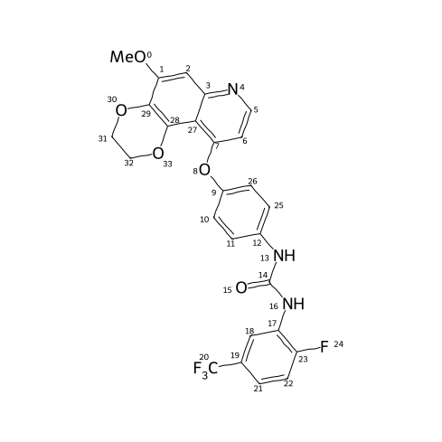 COc1cc2nccc(Oc3ccc(NC(=O)Nc4cc(C(F)(F)F)ccc4F)cc3)c2c2c1OCCO2